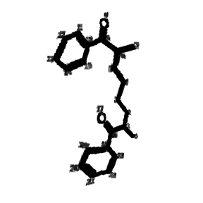 CC(CCCCC(C)C(=O)c1ccccc1)C(=O)c1ccccc1